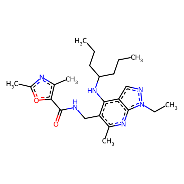 CCCC(CCC)Nc1c(CNC(=O)c2oc(C)nc2C)c(C)nc2c1cnn2CC